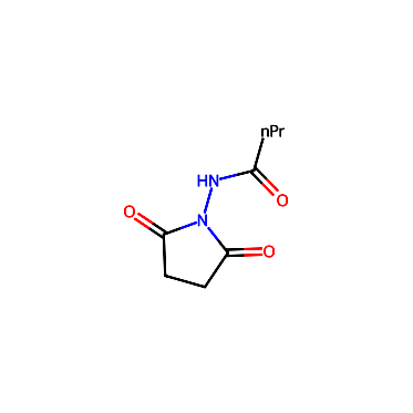 CCCC(=O)NN1C(=O)CCC1=O